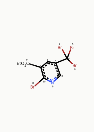 CCOC(=O)c1cc(C(Br)(Br)Br)cnc1Br